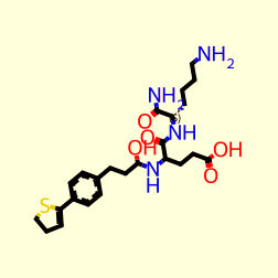 NCCCC[C@H](NC(=O)C(CCC(=O)O)NC(O)CCc1ccc(C2=CCCS2)cc1)C(N)=O